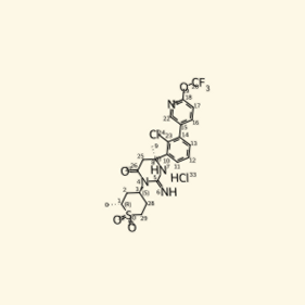 C[C@@H]1C[C@@H](N2C(=N)N[C@](C)(c3cccc(-c4ccc(OC(F)(F)F)nc4)c3Cl)CC2=O)CCS1(=O)=O.Cl